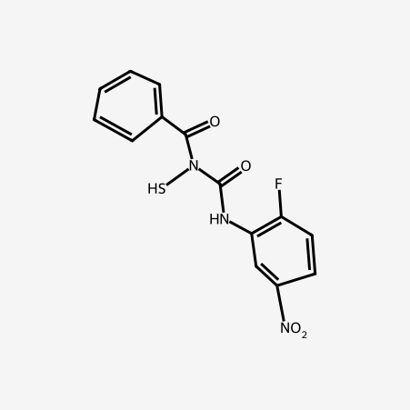 O=C(Nc1cc([N+](=O)[O-])ccc1F)N(S)C(=O)c1ccccc1